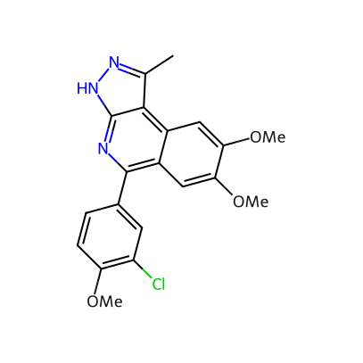 COc1ccc(-c2nc3[nH]nc(C)c3c3cc(OC)c(OC)cc23)cc1Cl